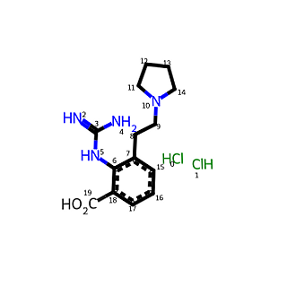 Cl.Cl.N=C(N)Nc1c(CCN2CCCC2)cccc1C(=O)O